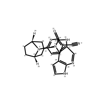 N#Cc1ccc(N2[C@@H]3CC[C@H]2C[C@H](n2c(=O)[nH]c4cnc5[nH]ccc5c42)C3)nc1